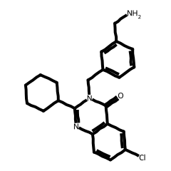 NCc1cccc(Cn2c(C3CCCCC3)nc3ccc(Cl)cc3c2=O)c1